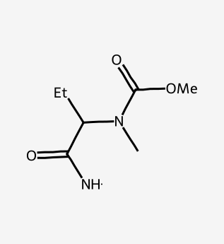 CCC(C([NH])=O)N(C)C(=O)OC